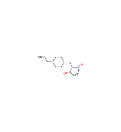 CC(=O)NCC1CCC(CN2C(=O)C=CC2=O)CC1